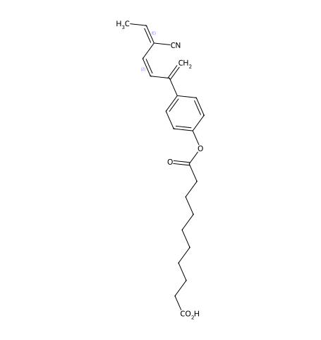 C=C(/C=C\C(C#N)=C/C)c1ccc(OC(=O)CCCCCCCCC(=O)O)cc1